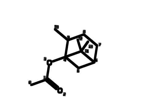 CC(=O)OC12CC(CCC1C)C2(C)C